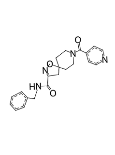 O=C(NCc1ccccc1)C1=NOC2(CCN(C(=O)c3ccncc3)CC2)C1